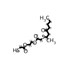 CCCCC(=O)CC(C)SCC(=O)OCCOC(=O)CS